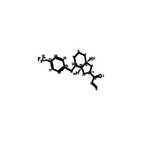 C=CC(=O)N1C[C@@H]2CCCN(Cc3ccc(C(F)(F)F)cc3)[C@@H]2C1